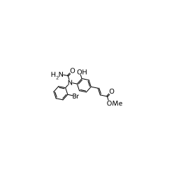 COC(=O)C=Cc1ccc(N(C(N)=O)c2ccccc2Br)c(O)c1